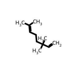 C=CC(C)(C)CCC=C(C)C